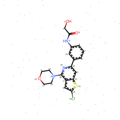 O=C(CO)Nc1cccc(-c2cc3sc(Cl)cc3c(N3CCOCC3)n2)c1